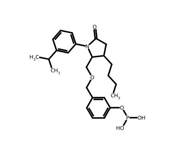 CCCCC1CC(=O)N(c2cccc(C(C)C)c2)C1COCc1cccc(OP(O)O)c1